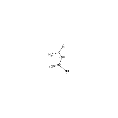 CCC(C)NC([NH])=O